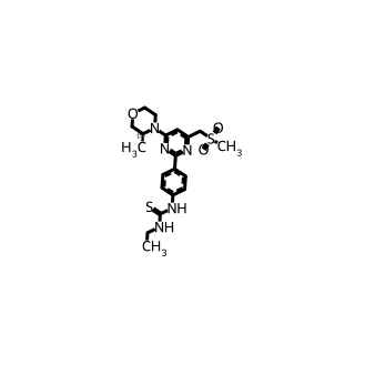 CCNC(=S)Nc1ccc(-c2nc(CS(C)(=O)=O)cc(N3CCOC[C@@H]3C)n2)cc1